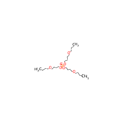 CCCCOCCCCOP(=O)(OCCCCOCCCC)OCCCCOCCCC